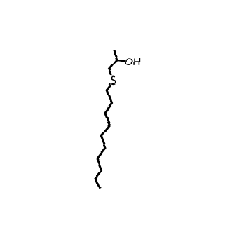 CCCCCCCCCCSCC(C)O